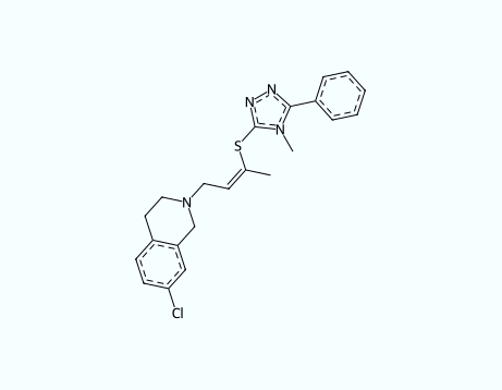 CC(=CCN1CCc2ccc(Cl)cc2C1)Sc1nnc(-c2ccccc2)n1C